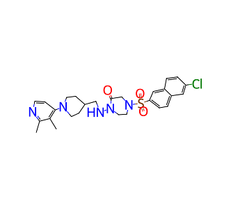 Cc1nccc(N2CCC(CNN3CCN(S(=O)(=O)c4ccc5cc(Cl)ccc5c4)CC3=O)CC2)c1C